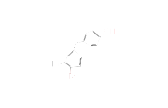 CCc1cc(Cc2ccc(O)cc2)ccc1Br